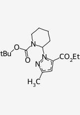 CCOC(=O)c1cc(C)nn1C1CCCCN1C(=O)OC(C)(C)C